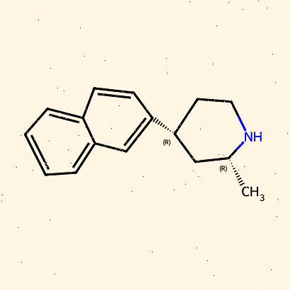 C[C@@H]1C[C@H](c2ccc3ccccc3c2)CCN1